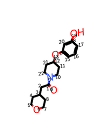 O=C(CC1CCOCC1)N1CCC(Oc2cccc(O)c2)CC1